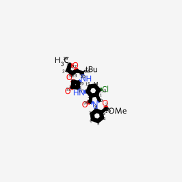 COC(=O)c1ccccc1N1Cc2c(Cl)ccc(Nc3c(N[C@@H](c4ccc(C)o4)C(C)(C)C)c(=O)c3=O)c2C1=O